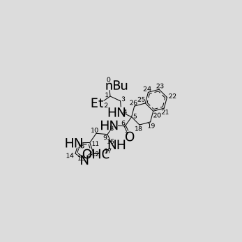 CCCCC(CC)CNC1(C(=O)NC(Cc2cnc[nH]2)NC=O)CCc2ccccc2C1